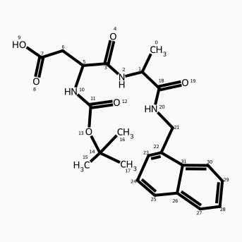 CC(NC(=O)C(CC(=O)O)NC(=O)OC(C)(C)C)C(=O)NCc1cccc2ccccc12